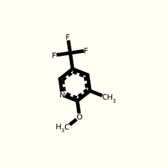 COc1ncc(C(F)(F)F)cc1C